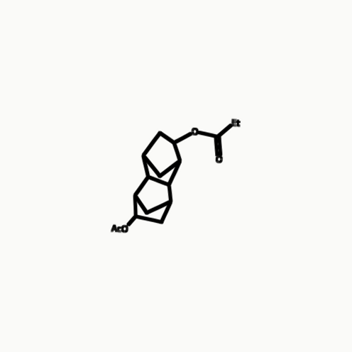 CCC(=O)OC1CC2CC1C1C3CC(OC(C)=O)C(C3)C21